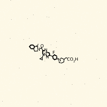 C[C@@H]1c2ccccc2CCN1C(=O)c1cc(C2CC2)n2nc(-c3ccc(N4CCCC(CC(=O)O)C4)cc3F)cc2n1